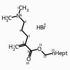 Br.C=C(CCCN(C)C)C(=O)OCCCCCCCC